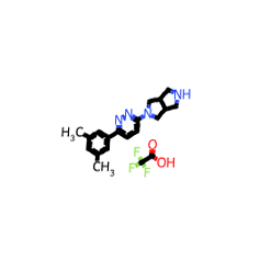 Cc1cc(C)cc(-c2ccc(N3CC4CNCC4C3)nn2)c1.O=C(O)C(F)(F)F